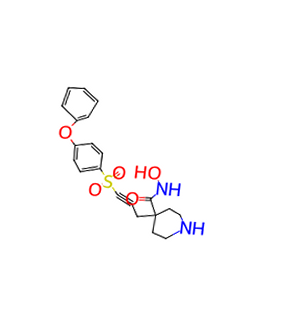 O=C(NO)C1(CC#CS(=O)(=O)c2ccc(Oc3ccccc3)cc2)CCNCC1